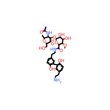 COC1C(C(=O)NCCc2ccc(O)c(-c3cc(CCN)ccc3O)c2)OC(OC2C(O)C(CO)OC(C)C2NC(C)=O)C(O)C1O